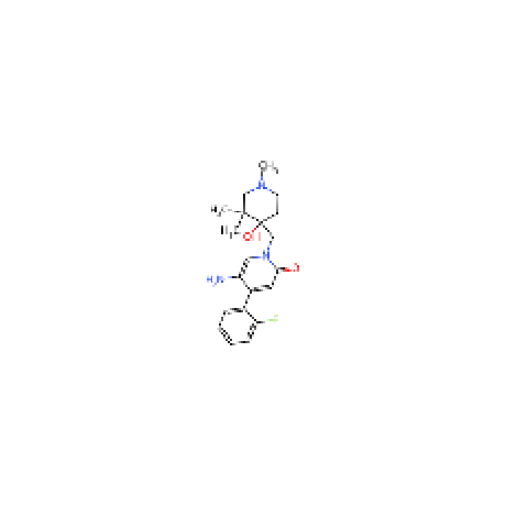 CN1CCC(O)(Cn2cc(N)c(-c3ccccc3F)cc2=O)C(C)(C)C1